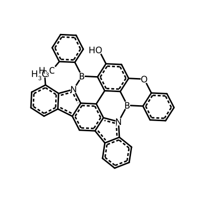 Cc1ccccc1B1c2c(O)cc3c4c2-c2c5c(cc6c7cccc(C)c7n1c26)c1ccccc1n5B4c1ccccc1O3